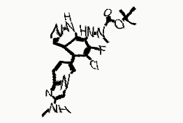 CNc1cn2cc(-c3c(Cl)c(F)c(NN(C)C(=O)OC(C)(C)C)c4[nH]ncc34)ccc2n1